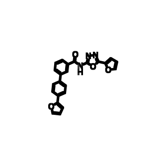 O=C(Nc1nnc(-c2ccco2)o1)c1cccc(-c2ccc(-c3ccco3)cc2)c1